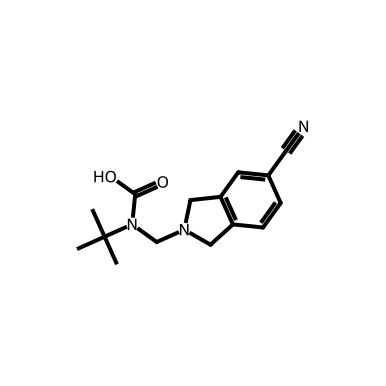 CC(C)(C)N(CN1Cc2ccc(C#N)cc2C1)C(=O)O